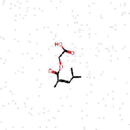 CC(=CC(C)C)C(=O)OCC(=O)O